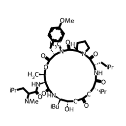 CC[C@H](C)[C@H]1NC(=O)[C@@H](NC(=O)C(CC(C)C)NC)[C@@H](C)OC(=O)[C@H](Cc2ccc(OC)cc2)N(C)C(=O)[C@@H]2CCCN2C(=O)[C@H](CC(C)C)NC(=O)[C@H](C(C)C)CC(=O)C[C@@H]1O